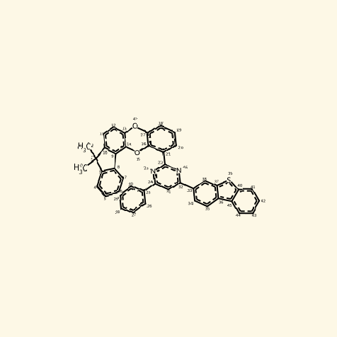 CC1(C)c2ccccc2-c2c1ccc1c2Oc2c(cccc2-c2nc(-c3ccccc3)cc(-c3ccc4c(c3)sc3ccccc34)n2)O1